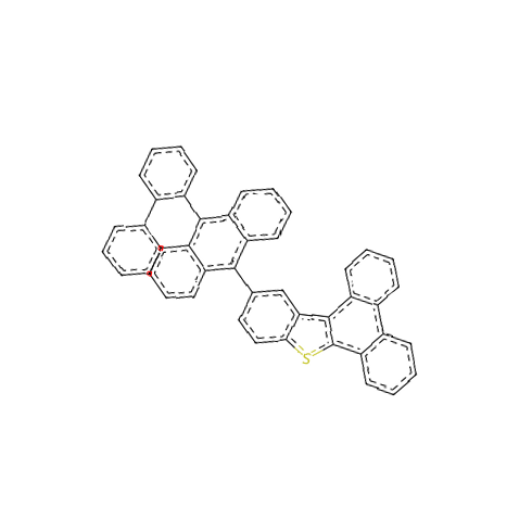 c1ccc(-c2ccccc2-c2c3ccccc3c(-c3ccc4sc5c6ccccc6c6ccccc6c5c4c3)c3ccccc23)cc1